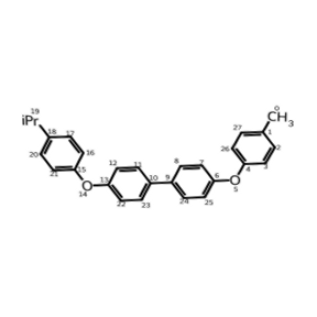 Cc1ccc(Oc2ccc(-c3ccc(Oc4ccc(C(C)C)cc4)cc3)cc2)cc1